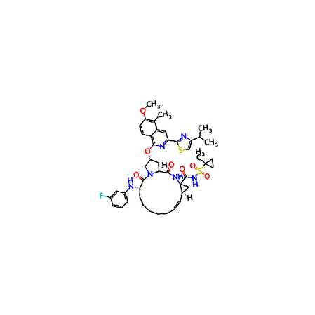 COc1ccc2c(O[C@@H]3C[C@H]4C(=O)N[C@]5(C(=O)NS(=O)(=O)C6(C)CC6)C[C@H]5/C=C\CCCCC[C@H](Nc5cccc(F)c5)C(=O)N4C3)nc(-c3nc(C(C)C)cs3)cc2c1C